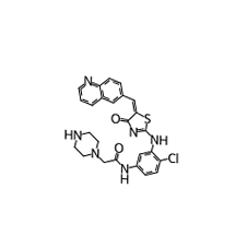 O=C(CN1CCNCC1)Nc1ccc(Cl)c(NC2=NC(=O)C(=Cc3ccc4ncccc4c3)S2)c1